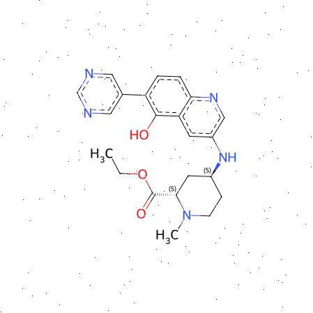 CCOC(=O)[C@@H]1C[C@@H](Nc2cnc3ccc(-c4cncnc4)c(O)c3c2)CCN1C